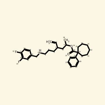 C=CC(CCCNCc1ccc(F)c(F)c1)CC(C)OC(=O)C1(c2ccccc2)CCCCCC1